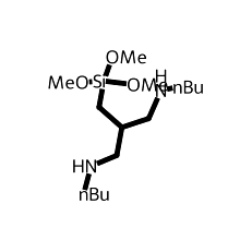 CCCCNCC(CNCCCC)C[Si](OC)(OC)OC